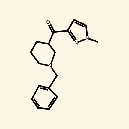 Cn1ccc(C(=O)C2CCCN(Cc3ccccc3)C2)n1